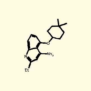 CCc1cc(N)c2c(OC3CCC(C)(C)CC3)cccc2n1